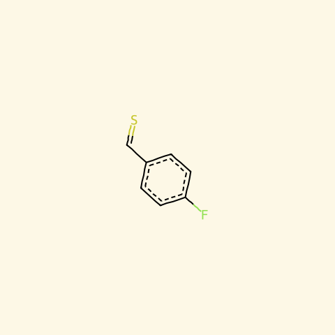 Fc1ccc(C=S)cc1